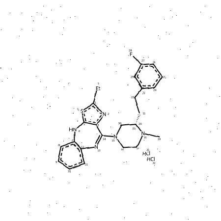 CCc1nc2c(s1)Nc1ccccc1N=C2N1CCN(C)[C@@H](CCc2cccc(F)c2)C1.Cl.Cl